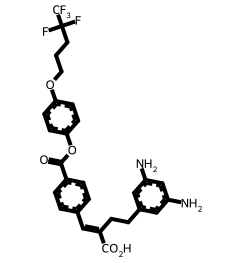 Nc1cc(N)cc(CC/C(=C\c2ccc(C(=O)Oc3ccc(OCCCC(F)(F)C(F)(F)F)cc3)cc2)C(=O)O)c1